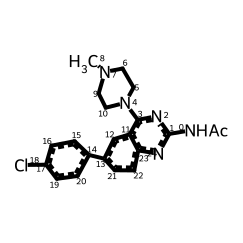 CC(=O)Nc1nc(N2CCN(C)CC2)c2cc(-c3ccc(Cl)cc3)ccc2n1